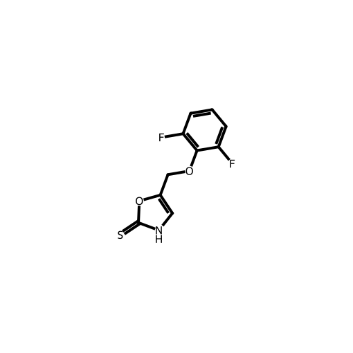 Fc1cccc(F)c1OCc1c[nH]c(=S)o1